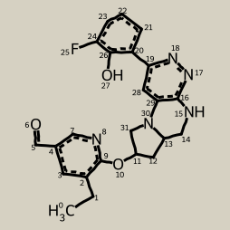 CCc1cc(C=O)cnc1OC1CC2CNc3nnc(-c4cccc(F)c4O)cc3N2C1